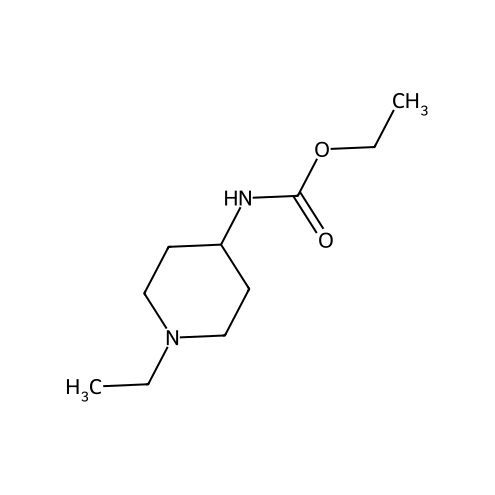 CCOC(=O)NC1CCN(CC)CC1